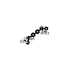 CCC(=O)N1CCCC1c1ncc(-c2ccc(-c3ccc(-c4cnc(C5CCCN5C(=O)CC)[nH]4)cc3)cc2)[nH]1